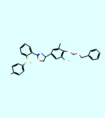 COc1cc(C2COC(c3ccccc3[S@@+]([O-])c3ccc(C)cc3)=N2)cc(OC)c1OCOCc1ccccc1